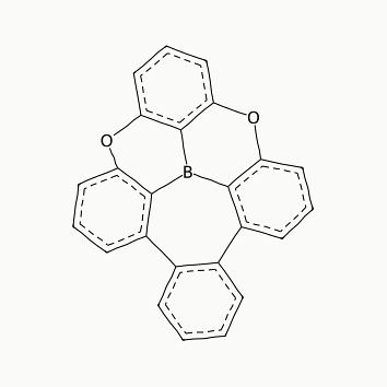 c1cc2c3c(c1)Oc1cccc4c1B3c1c(cccc1-c1ccccc1-4)O2